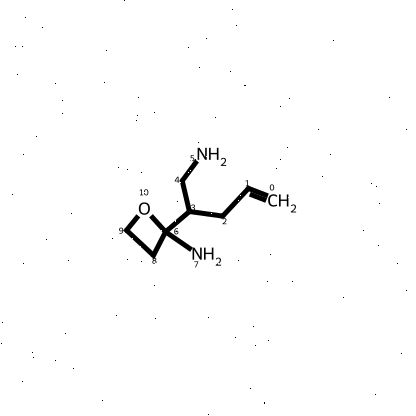 C=CCC(CN)C1(N)CCO1